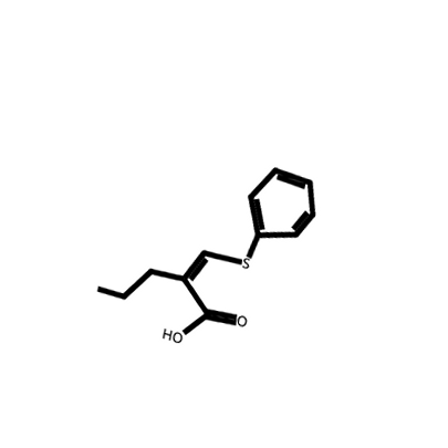 CCCC(=CSc1ccccc1)C(=O)O